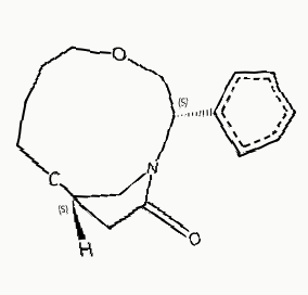 O=C1C[C@@H]2CCCCCOC[C@H](c3ccccc3)N1C2